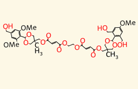 COc1cc(CO)c(C2OCC(C)(COC(=O)/C=C/C(=O)OCCOC(=O)/C=C/C(=O)OCC3(C)COC(c4c(OC)cc(CO)cc4OC)OC3)CO2)c(CO)c1